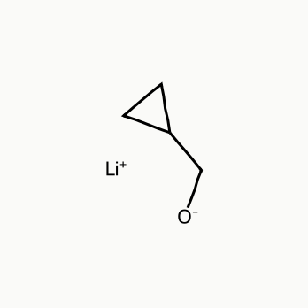 [Li+].[O-]CC1CC1